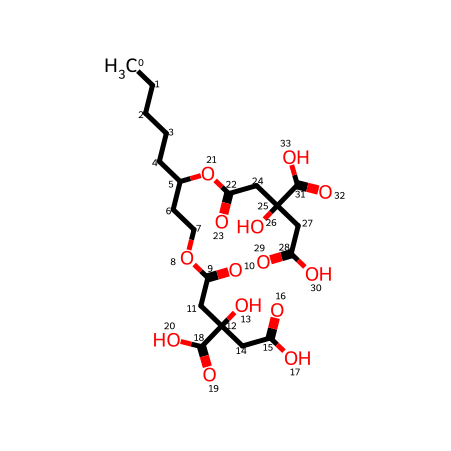 CCCCCC(CCOC(=O)CC(O)(CC(=O)O)C(=O)O)OC(=O)CC(O)(CC(=O)O)C(=O)O